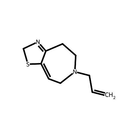 C=CCN1CC=C2SCN=C2CC1